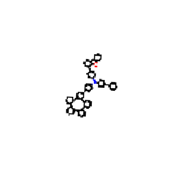 c1ccc(-c2ccc(N(c3ccc(-c4ccc5c6ccccc6c6ccccc6c6ccccc6c6ccccc6c5c4)cc3)c3ccc(-c4cccc5c4oc4ccccc45)cc3)cc2)cc1